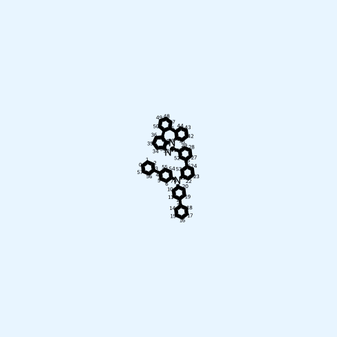 c1ccc(-c2ccc(N(c3ccc(-c4ccccc4)cc3)c3cccc(-c4cccc(-c5nc6cccc7c6n5-c5ccccc5-c5ccccc5-7)c4)c3)cc2)cc1